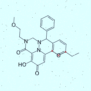 CCCOCc1cc(=O)c(O)c2n1N(C(c1ccccc1)c1ccccc1)CN(CCOC)C2=O